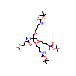 CC(=O)SCCC(=O)NC(COCCCNC(=O)OC(C)(C)C)(COCCCNC(=O)OC(C)(C)C)COCCCNC(=O)OC(C)(C)C